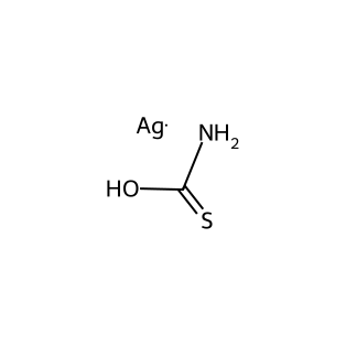 NC(O)=S.[Ag]